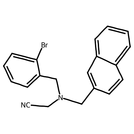 N#CCN(Cc1ccc2ccccc2c1)Cc1ccccc1Br